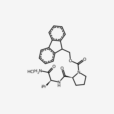 CC(C)[C@H](NC(=O)[C@@H]1CCCN1C(=O)OCC1c2ccccc2-c2ccccc21)C(N)=O.Cl